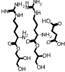 N=C(N)NCCC[C@H](N)C(=O)OCC(O)CO.N=C(N)NCCC[C@H](N)C(=O)OCC(O)CO.O=C(O)CCC(=O)O